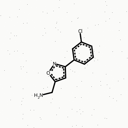 NCc1cc(-c2cccc(Cl)c2)no1